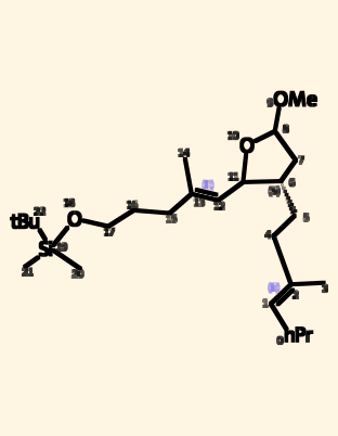 CCC/C=C(\C)CC[C@H]1CC(OC)OC1/C=C(\C)CCCO[Si](C)(C)C(C)(C)C